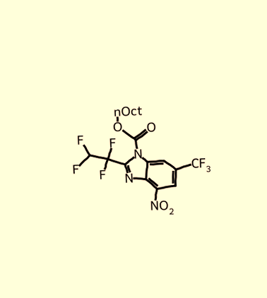 CCCCCCCCOC(=O)n1c(C(F)(F)C(F)F)nc2c([N+](=O)[O-])cc(C(F)(F)F)cc21